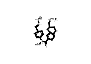 CCCCN(C(=O)c1ccc2c(c1)CC(CC(=O)OCC)CC2)c1ccc(C=NOCC)cc1